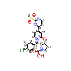 CS(=O)(=O)c1nccc(-c2ccn([C@@H](c3ccc(Cl)c(F)c3)C3CCCN3C(=O)O)c(=O)c2)n1